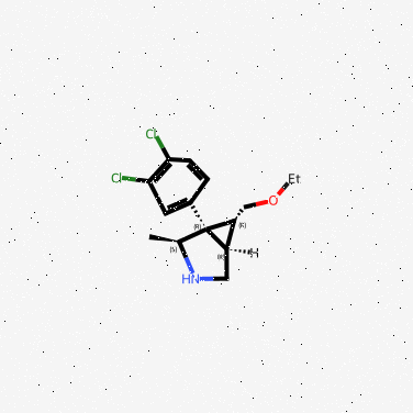 CCOC[C@@H]1[C@H]2CN[C@@H](C)[C@]21c1ccc(Cl)c(Cl)c1